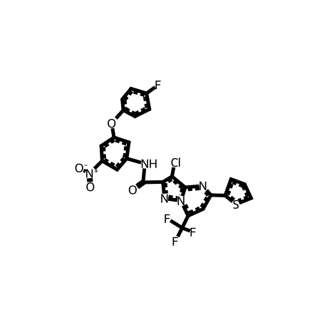 O=C(Nc1cc(Oc2ccc(F)cc2)cc([N+](=O)[O-])c1)c1nn2c(C(F)(F)F)cc(-c3cccs3)nc2c1Cl